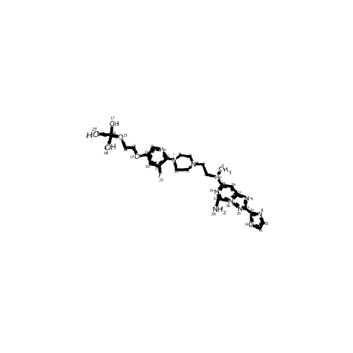 CN(CCN1CCN(c2ncc(OCCOC(O)(O)O)cc2F)CC1)c1cc2nc(-c3ncco3)nn2c(N)n1